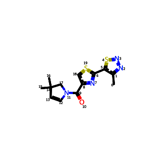 Cc1nnsc1-c1nc(C(=O)N2C=CC(C)(C)C2)cs1